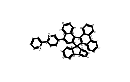 c1ccc(-c2ccc(-c3cc4c(c5ccccc35)-c3c(c5ccccc5c5ccccc35)C43c4ccccc4-c4ccccc43)cn2)nc1